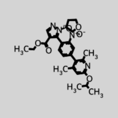 CCOC(=O)c1cnn([C@H]2CCOC2)c1-c1ccc(-c2c(C)cc(OC(C)C)nc2C)cc1[N+](=O)[O-]